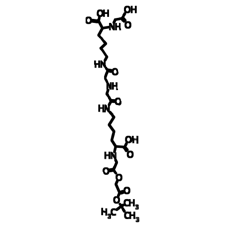 CC(C)(C)OC(=O)COC(=O)CNC(CCCCNC(=O)CNCC(=O)NCCCCC(NCC(=O)O)C(=O)O)C(=O)O